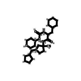 N#CC1(NC(=O)C(CC2CCCCC2)NC(=O)ON2CCOCC2)CCN(CC2CCCC2)C1